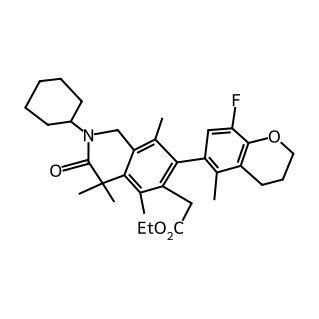 CCOC(=O)Cc1c(C)c2c(c(C)c1-c1cc(F)c3c(c1C)CCCO3)CN(C1CCCCC1)C(=O)C2(C)C